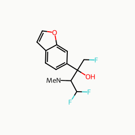 CNC(C(F)F)C(O)(CF)c1ccc2ccoc2c1